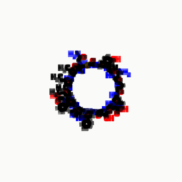 CCCC[C@H]1C(=O)N(C)[C@@H](CCCC)C(=O)N[C@@H](CC(C)C)C(=O)N[C@H](C(=O)NCC(N)=O)CSCC(=O)N[C@@H](Cc2ccc(O)cc2)C(=O)N(C)[C@@H](C)C(=O)N[C@@H](CC(N)=O)C(=O)N2CCCC2C(=O)N[C@@H](Cc2cnc[nH]2)C(=O)N[C@@H](CCC(=O)O)C(=O)N2C[C@H](O)C[C@H]2C(=O)N[C@@H](Cc2c[nH]c3ccccc23)C(=O)N[C@@H](Cc2cnc[nH]2)C(=O)N[C@@H](Cc2cn(CC(=O)O)c3ccccc23)C(=O)N1C